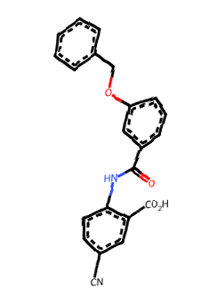 N#Cc1ccc(NC(=O)c2cccc(OCc3ccccc3)c2)c(C(=O)O)c1